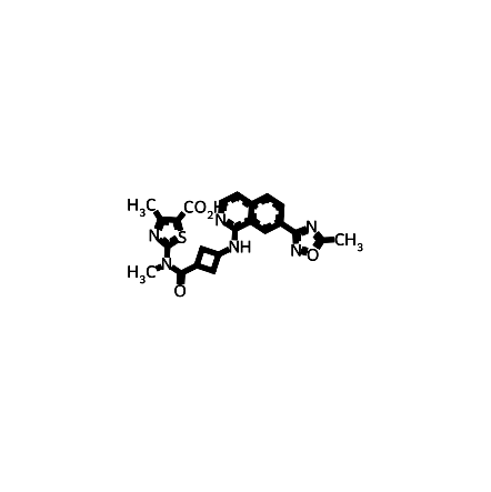 Cc1nc(-c2ccc3ccnc(NC4CC(C(=O)N(C)c5nc(C)c(C(=O)O)s5)C4)c3c2)no1